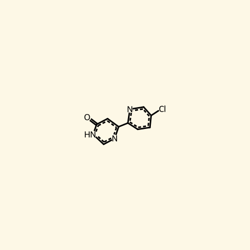 O=c1cc(-c2ccc(Cl)cn2)nc[nH]1